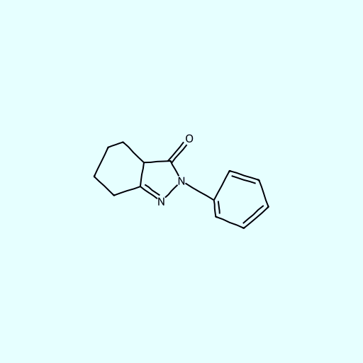 O=C1C2CCCCC2=NN1c1ccccc1